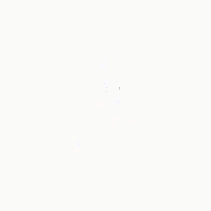 CC1=C(C(=O)OCc2ccc([N+](=O)[O-])cc2)N2C(=O)[C@@H](N=CN(C)C)[C@@H]2SC1